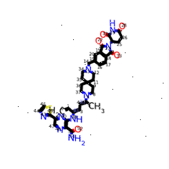 C=C/C(=C\C=C(/C)N1CCC2(CCN(Cc3ccc4c(c3)C(=O)N(C3CCC(=O)NC3=O)C4=O)CC2)CC1)Nc1nc(-c2nccs2)cnc1C(N)=O